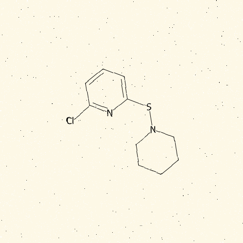 Clc1cccc(SN2CCCCC2)n1